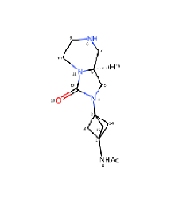 CC(=O)NC12CC(N3C[C@@H]4CNCCN4C3=O)(C1)C2